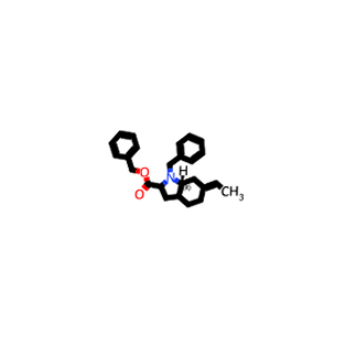 CC=C1CCC2CC(C(=O)OCc3ccccc3)N(Cc3ccccc3)[C@@H]2C1